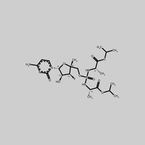 CC(C)OC(=O)[C@H](C)NP(=O)(N[C@@H](C)C(=O)OC(C)C)OC[C@@]1(C)O[C@@H](n2ccc(N)nc2=O)[C@H](O)[C@@H]1F